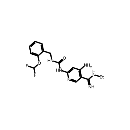 CCNC(=N)c1cnc(NC(=O)NCc2ccccc2OC(F)F)cc1N